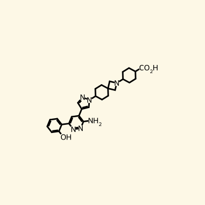 Nc1nnc(-c2ccccc2O)cc1-c1cnn(C2CCC3(CC2)CN(C2CCC(C(=O)O)CC2)C3)c1